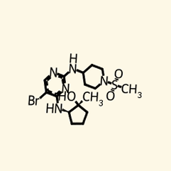 C[C@@]1(O)CCC[C@H]1Nc1nc(NC2CCN(S(C)(=O)=O)CC2)ncc1Br